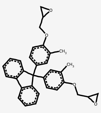 Cc1cc(C2(c3ccc(OCC4CO4)c(C)c3)c3ccccc3-c3ccccc32)ccc1OCC1CO1